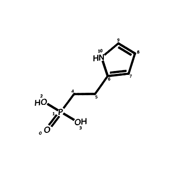 O=P(O)(O)CCc1ccc[nH]1